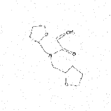 C=CC(=O)N(CC1CCCO1)CC1CCCO1